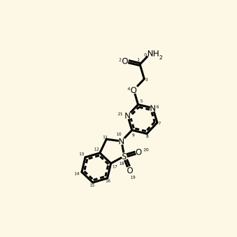 NC(=O)COc1nccc(N2Cc3ccccc3S2(=O)=O)n1